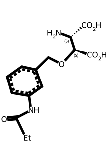 CCC(=O)Nc1cccc(CO[C@H](C(=O)O)[C@H](N)C(=O)O)c1